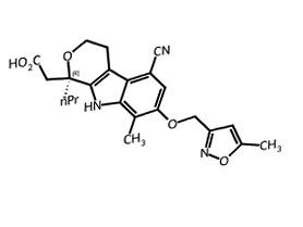 CCC[C@]1(CC(=O)O)OCCc2c1[nH]c1c(C)c(OCc3cc(C)on3)cc(C#N)c21